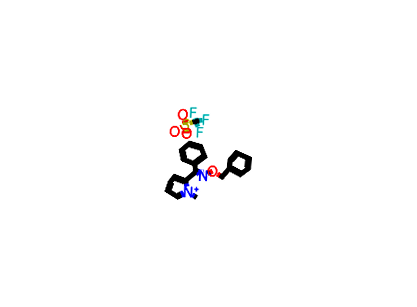 C[n+]1ccccc1/C(=N/OCc1ccccc1)c1ccccc1.O=S(=O)([O-])C(F)(F)F